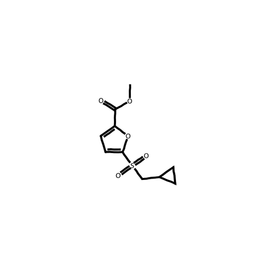 COC(=O)c1ccc(S(=O)(=O)CC2CC2)o1